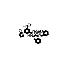 CCNc1cc(C(=O)N[C@@H](Cc2ccccc2)[C@@H](O)CNCc2ccccc2OC)cc(N2CCCC2=O)c1